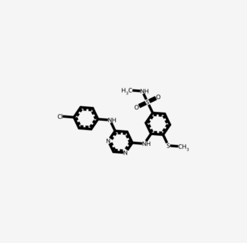 CNS(=O)(=O)c1ccc(SC)c(Nc2cc(Nc3ccc(Cl)cc3)ncn2)c1